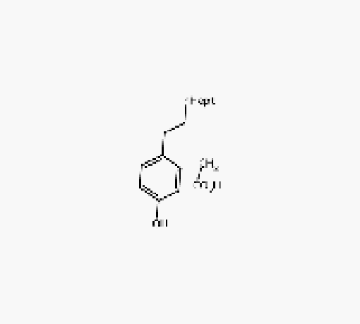 CC(=O)O.CCCCCCCCCc1ccc(O)cc1